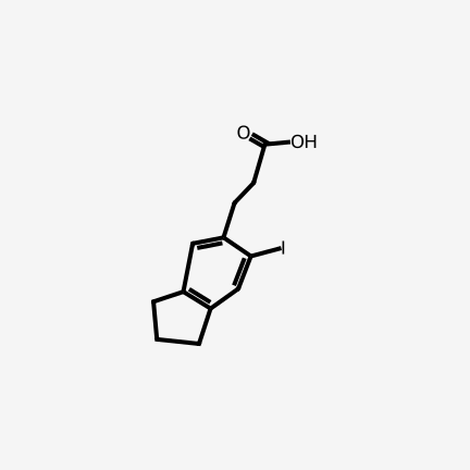 O=C(O)CCc1cc2c(cc1I)CCC2